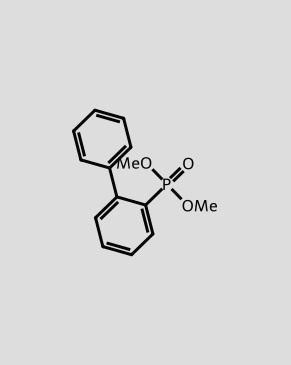 COP(=O)(OC)c1ccccc1-c1ccccc1